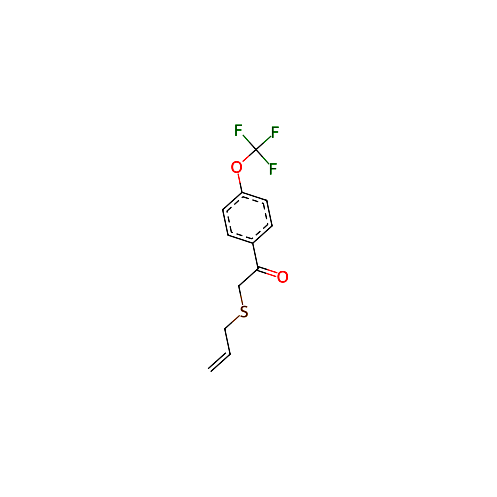 C=CCSCC(=O)c1ccc(OC(F)(F)F)cc1